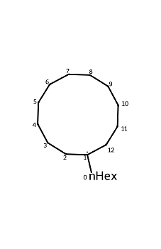 CCCCCC[C]1CCCCCCCCCCC1